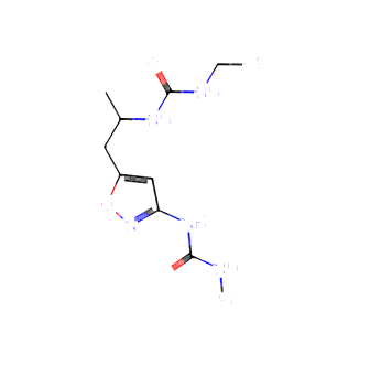 CCNC(=O)Nc1cc(CC(C)NC(=O)NCC(F)(F)F)on1